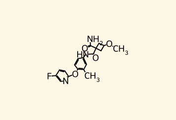 COC1CC(C(N)=O)(C(=O)Nc2ccc(Oc3ccc(F)cn3)c(C)c2)C1